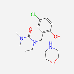 C1COCCN1.CCN(Cc1cc(Cl)ccc1O)C(=O)N(C)C